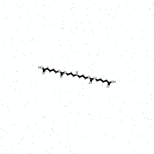 O=C(O)CCCCOC(=O)OCCCNCCCOC(=O)OCCCCC(=O)O